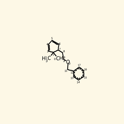 CC1(C)C=CC=CC1CCOCc1ccccc1